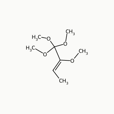 CC=C(OC)C(OC)(OC)OC